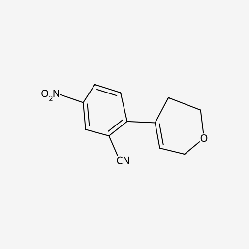 N#Cc1cc([N+](=O)[O-])ccc1C1=CCOCC1